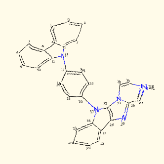 c1ccc2c(c1)c1ccccc1n2-c1ccc(-n2c3ccccc3c3nc4cnccn4c32)cc1